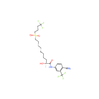 C[C@](O)(CCCCCCCCS(=O)(=O)CCCC(F)(F)F)C(=O)Nc1ccc(C#N)c(C(F)(F)F)c1